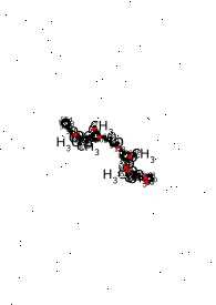 COc1cc(/C=C/C(=O)CC(=O)/C=C/c2ccc(OC(=O)[C@@H](OC(=O)OCc3ccccc3)C(C)C)c(OC)c2)ccc1OC(=O)C(OC(=O)OCc1ccccc1)C(C)C